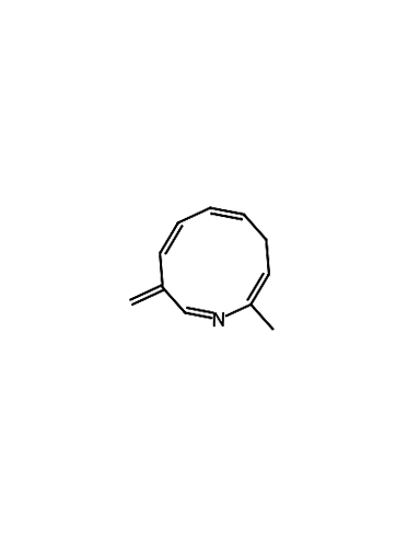 C=C1/C=C\C=C/C/C=C(C)\N=C/1